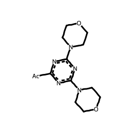 CC(=O)c1nc(N2CCOCC2)nc(N2CCOCC2)n1